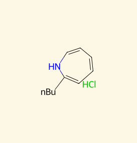 CCCCC1=CC=CC=CN1.Cl